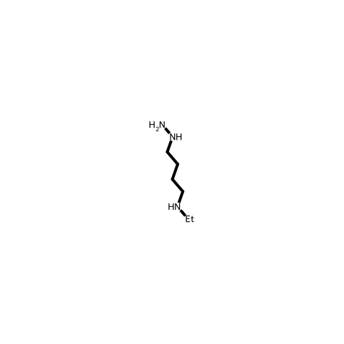 CCNCCCCNN